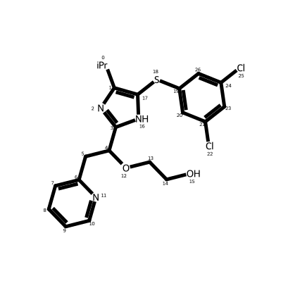 CC(C)c1nc(C(Cc2ccccn2)OCCO)[nH]c1Sc1cc(Cl)cc(Cl)c1